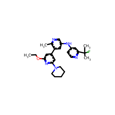 CCOc1cc(-c2cc(Nc3ccnc(C(C)(C)F)c3)cnc2C)cc(N2CCCCC2)n1